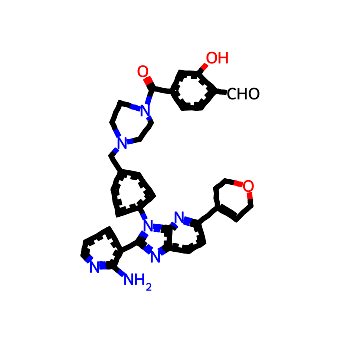 Nc1ncccc1-c1nc2ccc(C3=CCOCC3)nc2n1-c1ccc(CN2CCN(C(=O)c3ccc(C=O)c(O)c3)CC2)cc1